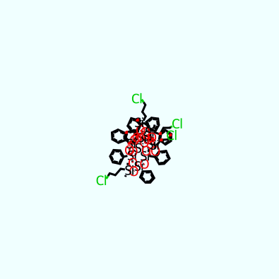 C[Si](C)(CCCCl)O[Si]1(c2ccccc2)O[Si]2(c3ccccc3)O[Si](O[Si](C)(C)CCCCl)(c3ccccc3)O[Si](c3ccccc3)(O1)O[Si]1(c3ccccc3)O[Si](O[Si](C)(C)CCCCl)(c3ccccc3)O[Si](c3ccccc3)(O[Si](O[Si](C)(C)CCCCl)(c3ccccc3)O1)O2